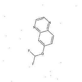 FC(F)Oc1ccc2nccnc2c1